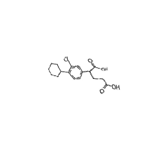 O=C(O)CCC(C(=O)O)c1ccc(C2CCCCC2)c(Cl)c1